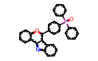 O=P(c1ccccc1)(c1ccccc1)c1ccc(-c2oc3ccccc3c3nc4ccccc4c2-3)cc1